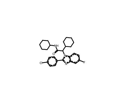 O=C(NC1CCCCC1)C(C1CCCCC1)n1c(-c2ccc(Cl)cc2)nc2cc(F)ccc21